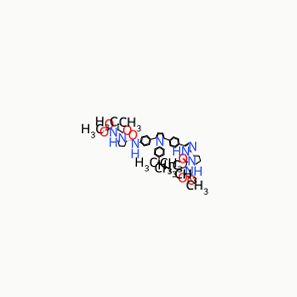 COC(=O)NC(C(=O)N1CCC[C@H]1C(=O)Nc1ccc(-c2ccc(-c3ccc(-c4cnc([C@@H]5CCCN5C(=O)C(NC(=O)OC)C(C)C)[nH]4)cc3)n2-c2ccc(C(C)(C)C)cc2)cc1)C(C)C